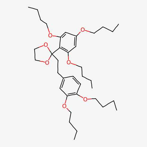 CCCCOc1cc(OCCCC)c(C2(CCc3ccc(OCCCC)c(OCCCC)c3)OCCO2)c(OCCCC)c1